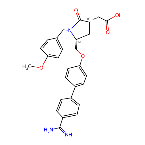 COc1ccc(CN2C(=O)[C@H](CC(=O)O)C[C@H]2COc2ccc(-c3ccc(C(=N)N)cc3)cc2)cc1